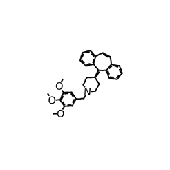 COc1cc(CN2CCC(=C3c4ccccc4C=Cc4ccccc43)CC2)cc(OC)c1OC